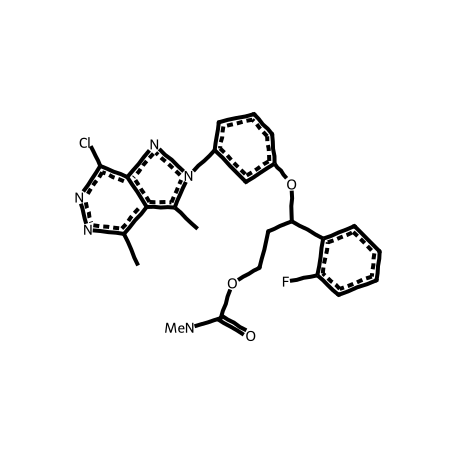 CNC(=O)OCCC(Oc1cccc(-n2nc3c(Cl)nnc(C)c3c2C)c1)c1ccccc1F